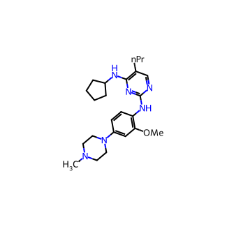 CCCc1cnc(Nc2ccc(N3CCN(C)CC3)cc2OC)nc1NC1CCCC1